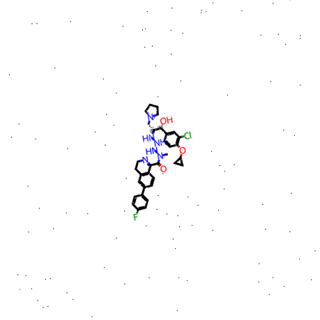 CN(NNN[C@H](CN1CCCC1)[C@H](O)c1ccc(OC2CC2)c(Cl)c1)C(=O)C1=NCCc2cc(-c3ccc(F)cc3)ccc21